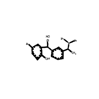 CCC(c1cccc(C(C)N(C(C)C)C(C)C)c1)c1cc(Br)ccc1O.Cl